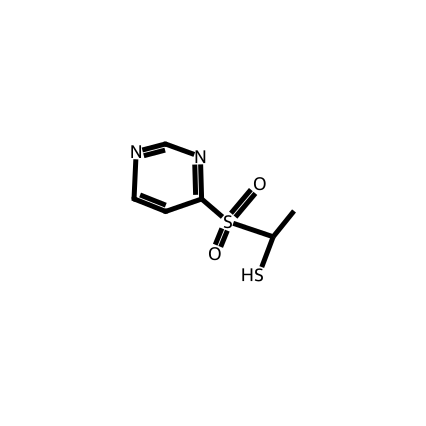 CC(S)S(=O)(=O)c1ccncn1